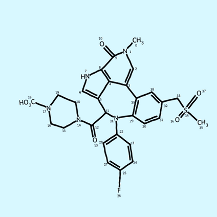 Cn1cc2c3c(c[nH]c3c1=O)C(C(=O)N1CCN(C(=O)O)CC1)N(c1ccc(F)cc1)c1ccc(CS(C)(=O)=O)cc1-2